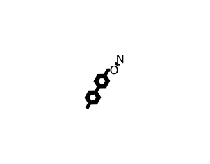 Cc1ccc(-c2ccc(COC#N)cc2)cc1